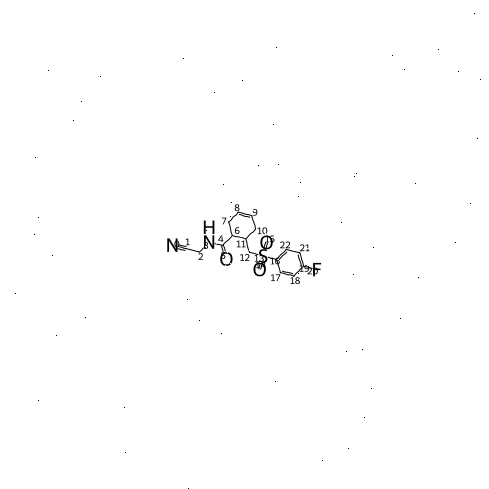 N#CCNC(=O)C1CC=CCC1CS(=O)(=O)c1ccc(F)cc1